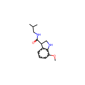 COc1cccc2c1NCC2C(=O)NCC(C)C